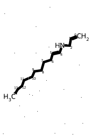 C=CCN/C=C/CCCCCCCCC